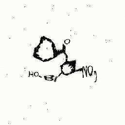 CO.O=C(c1ccccc1)c1cc(Br)cc([N+](=O)[O-])c1